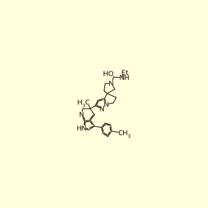 CCNC(O)N1CCC2(CCn3nc(C4(C)C=c5c(-c6ccc(C)cc6)c[nH]c5=NC4)cc32)C1